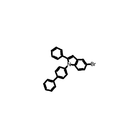 Brc1ccc2c(c1)cc(-c1ccccc1)n2-c1ccc(-c2ccccc2)cc1